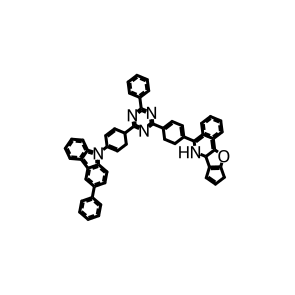 C1=CC2=C(C1)OC1=c3ccccc3=C(C3=CC=C(c4nc(-c5ccccc5)nc(C5C=CC(n6c7ccccc7c7cc(-c8ccccc8)ccc76)=CC5)n4)CC3)NC21